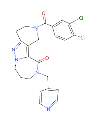 O=C(c1ccc(Cl)c(Cl)c1)N1CCc2nn3c(c2C1)C(=O)N(Cc1ccncc1)CCC3